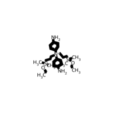 CCO[Si](C)(C)CCC[N+](CCC[Si](C)(C)OCC)(c1ccc(N)cc1)c1ccc(N)cc1